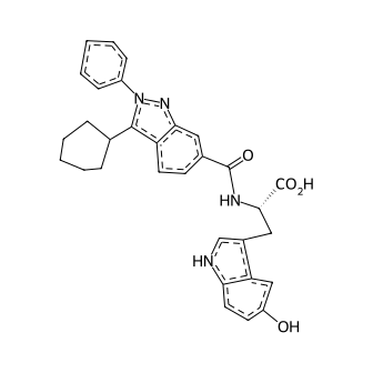 O=C(N[C@@H](Cc1c[nH]c2ccc(O)cc12)C(=O)O)c1ccc2c(C3CCCCC3)n(-c3ccccc3)nc2c1